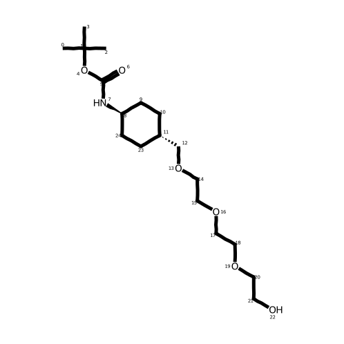 CC(C)(C)OC(=O)N[C@H]1CC[C@H](COCCOCCOCCO)CC1